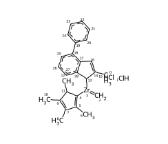 Cl.Cl.[CH2]=[Zr]([C]1=C(C)C(C)=C(C)C1C)[CH]1C(C)=Cc2c(-c3ccccc3)cccc21